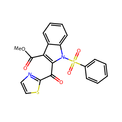 COC(=O)c1c(C(=O)c2nccs2)n(S(=O)(=O)c2ccccc2)c2ccccc12